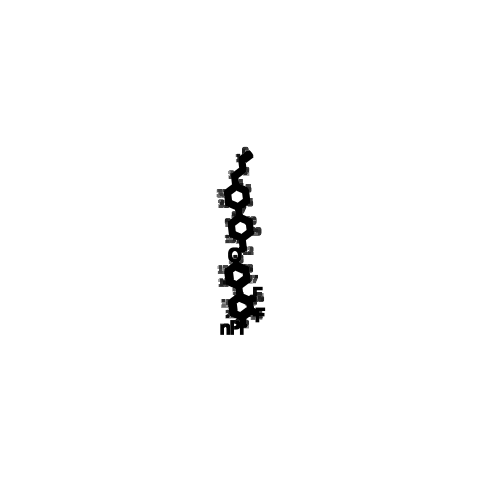 C=CCCC1CCC(C2CCC(COc3ccc(-c4ccc(CCC)c(F)c4F)cc3)CC2)CC1